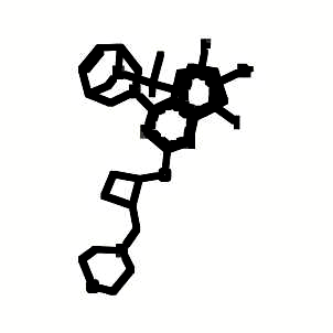 CC(C)(c1ccccc1)N1CC2C=CC1CN(c1nc(OC3CCC3CN3CCOCC3)nc3c(I)c(Br)c(F)cc13)C2